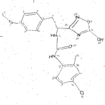 COc1ccc(CC(NC(=O)Nc2ccc(Cl)cc2C)c2noc(O)n2)cc1